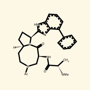 CN[C@@H](C)C(=O)N[C@H]1CN(C(C)=O)CC[C@H]2CC[C@@H](c3nc4c(-c5ccccc5)cccc4[nH]3)N2C1=O